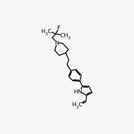 C=Cc1ccc(-c2ccc(CCC3CCN(CC(C)(C)F)CC3)cc2)[nH]1